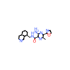 Cc1nc(C(=O)NCc2cccc3ccncc23)c(N)nc1-c1ncco1